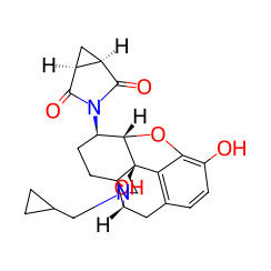 O=C1[C@H]2C[C@H]2C(=O)N1[C@@H]1CC[C@@]2(O)[C@H]3Cc4ccc(O)c5c4[C@@]2(CCN3CC2CC2)[C@H]1O5